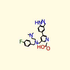 CC(=O)O.CN(C)CCN(Cc1ccc(F)cc1)Cc1cncc(-c2ccc3[nH]ncc3c2)c1